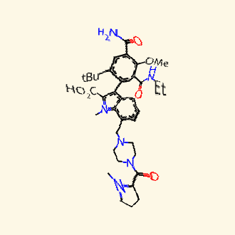 CCNC(=O)c1c(OC)c(C(N)=O)cc(C(C)(C)C)c1-c1c(C(=O)O)n(C)c2c(CN3CCN(C(=O)C4CCCN4C)CC3)cccc12